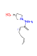 C=C/C=C\C(=C)NN1CC[C@@H](O)C1